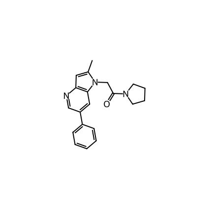 Cc1cc2ncc(-c3ccccc3)cc2n1CC(=O)N1CCCC1